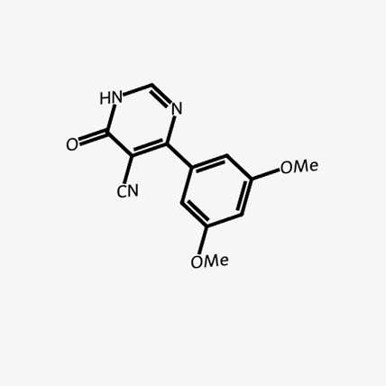 COc1cc(OC)cc(-c2nc[nH]c(=O)c2C#N)c1